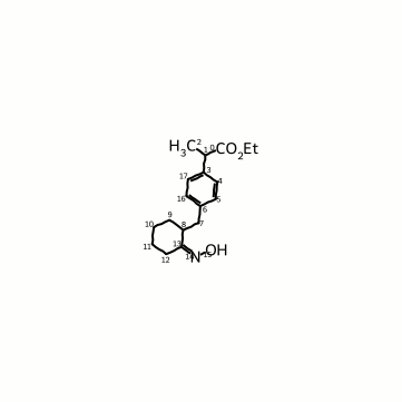 CCOC(=O)C(C)c1ccc(CC2CCCC/C2=N/O)cc1